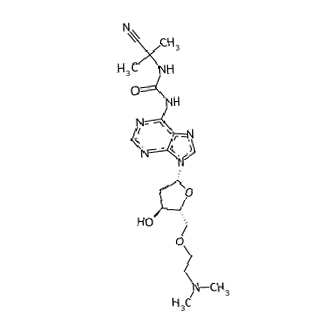 CN(C)CCOC[C@H]1O[C@@H](n2cnc3c(NC(=O)NC(C)(C)C#N)ncnc32)C[C@@H]1O